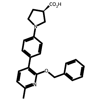 Cc1ccc(-c2ccc(N3CC[C@@H](C(=O)O)C3)cc2)c(OCc2ccccc2)n1